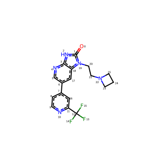 O=c1[nH]c2ncc(-c3ccnc(C(F)(F)F)c3)cc2n1CCN1CCC1